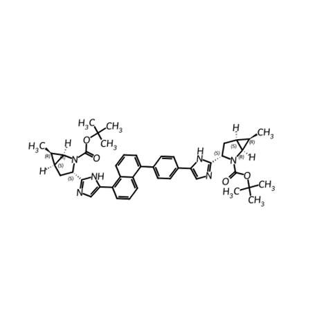 C[C@@H]1[C@@H]2C[C@@H](c3ncc(-c4ccc(-c5cccc6c(-c7cnc([C@@H]8C[C@H]9[C@@H](C)[C@H]9N8C(=O)OC(C)(C)C)[nH]7)cccc56)cc4)[nH]3)N(C(=O)OC(C)(C)C)[C@H]12